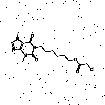 Cn1cnc2c1c(=O)n(CCCCCCOC(=O)CCl)c(=O)n2C